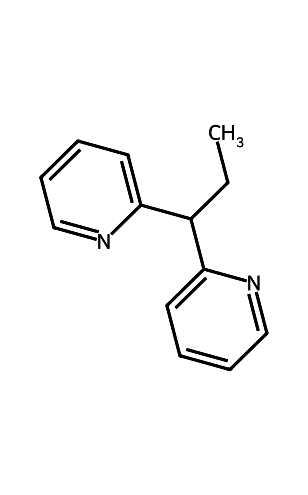 CCC(c1ccccn1)c1ccccn1